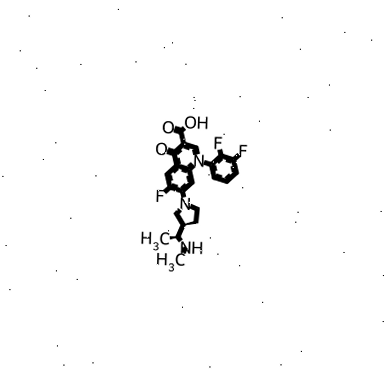 CN[C@@H](C)[C@@H]1CCN(c2cc3c(cc2F)c(=O)c(C(=O)O)cn3-c2cccc(F)c2F)C1